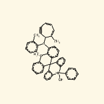 CC1=CC=CC#CC1B(c1cccc2c1Oc1ccccc1C21c2ccccc2[PH](O)(c2ccccc2)c2ccccc21)c1c(C)cccc1C